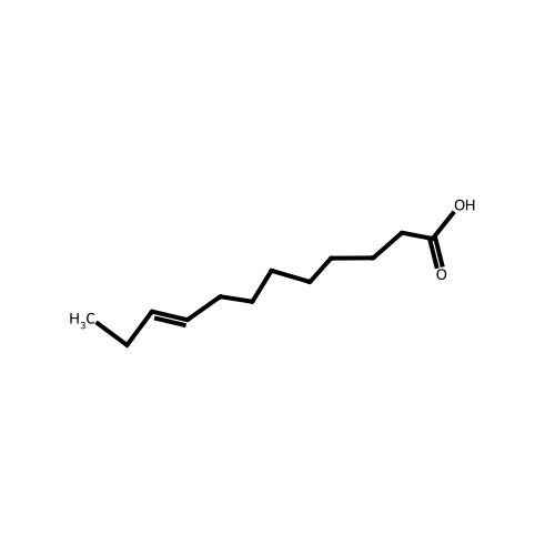 CC/C=C/CCCCCCCC(=O)O